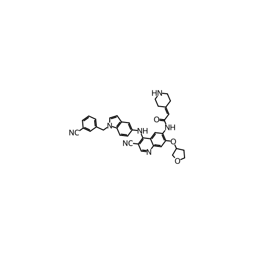 N#Cc1cccc(Cn2ccc3cc(Nc4c(C#N)cnc5cc(OC6CCOC6)c(NC(=O)C=C6CCNCC6)cc45)ccc32)c1